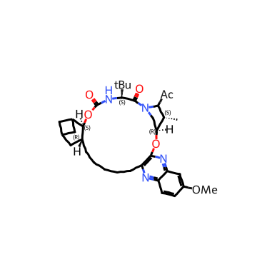 COc1ccc2nc3c(nc2c1)O[C@H]1CN(C(=O)[C@H](C(C)(C)C)NC(=O)O[C@@H]2C4CC(C4)C[C@H]2CCCCC3)C(C(C)=O)[C@@H]1C